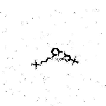 Cn1nc(C(F)(F)F)cc1Oc1cccc(OCCCSC(F)(F)F)n1